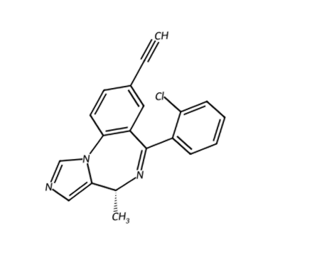 C#Cc1ccc2c(c1)C(c1ccccc1Cl)=N[C@H](C)c1cncn1-2